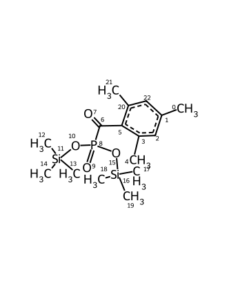 Cc1cc(C)c(C(=O)P(=O)(O[Si](C)(C)C)O[Si](C)(C)C)c(C)c1